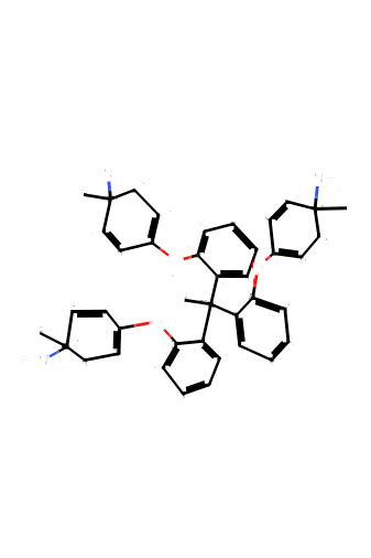 CC1(N)C=CC(Oc2ccccc2C(C)(c2ccccc2OC2=CCC(C)(N)C=C2)c2ccccc2OC2=CCC(C)(N)C=C2)=CC1